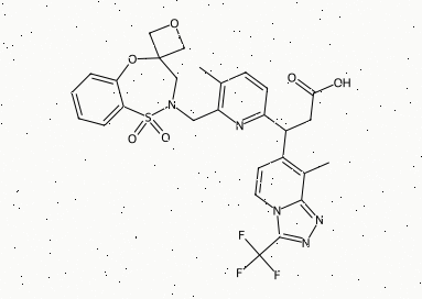 Cc1ccc(C(CC(=O)O)c2ccn3c(C(F)(F)F)nnc3c2C)nc1CN1CC2(COC2)Oc2ccccc2S1(=O)=O